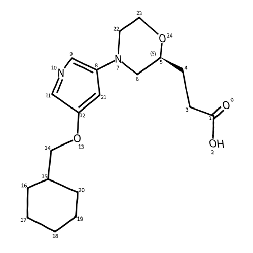 O=C(O)CC[C@H]1CN(c2cncc(OCC3CCCCC3)c2)CCO1